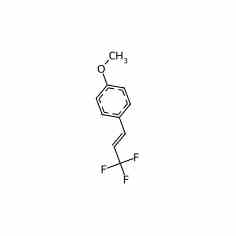 COc1ccc(C=CC(F)(F)F)cc1